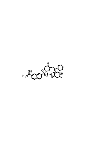 CC1Cc2nc(C(=O)[N+]3(S(=O)(=O)c4ccc5ccc(C(=N)N)cc5c4)CCNC(CC(=O)N4CCOCC4)C3)sc2CN1